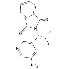 Nc1cncc([C@@H](C(F)F)N2C(=O)c3ccccc3C2=O)c1